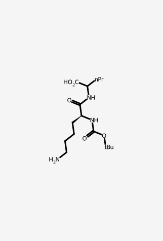 CCCC(NC(=O)[C@H](CCCCN)NC(=O)OC(C)(C)C)C(=O)O